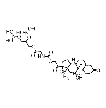 C[C@]12C=CC(=O)C=C1CC[C@H]1C3CCC(O)(C(=O)COC(=O)NCC(=O)OCC(CON(O)O)ON(O)O)[C@@]3(C)C[C@H](O)C12F